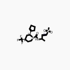 CC(/C=C/S(C)(=O)=O)NC(=O)N1CC[C@@H](C(F)(F)F)C[C@H]1C1=CCCC1